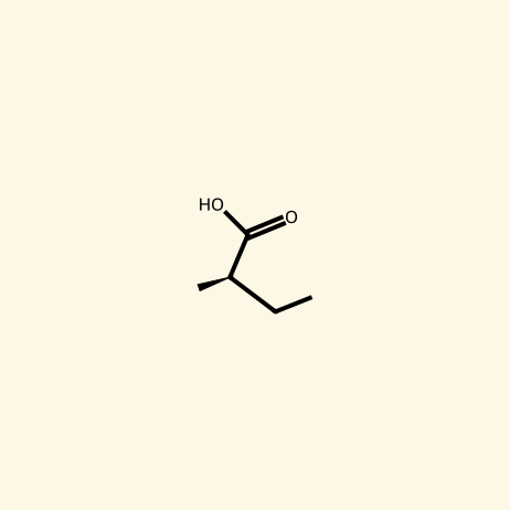 CC[C@@H](C)C(=O)O